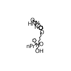 CCCC(C1CCCC1)N(CCO)C(=O)CCCCCOc1ccc2c(c1)N=C1NC(=O)CN1C2